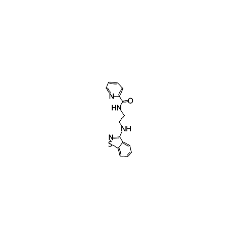 O=C(NCCNc1nsc2ccccc12)c1ccccn1